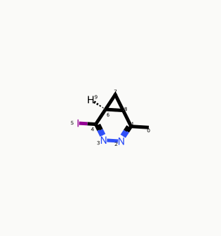 CC1=NN=C(I)[C@H]2CC12